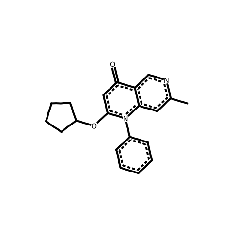 Cc1cc2c(cn1)c(=O)cc(OC1CCCC1)n2-c1ccccc1